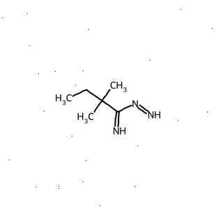 CCC(C)(C)C(=N)N=N